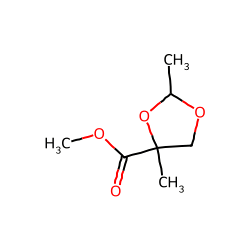 COC(=O)C1(C)COC(C)O1